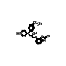 CCOC(=O)c1ccc(N(C[C@@H](O)COc2cccc3c2=NC(=O)N=3)C2CCNCC2)cc1